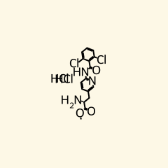 COC(=O)[C@@H](N)Cc1ccc(NC(=O)c2c(Cl)cccc2Cl)nc1.Cl.Cl